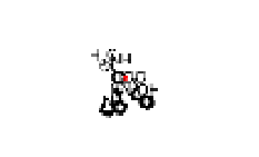 CNC(=O)c1ccc2c(c1)nc(-c1cccc3cccnc13)n2C(Cc1ccccc1)C(O)C(=O)O